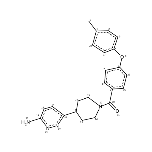 Cc1ccc(Oc2ccc(C(=O)N3CCC(c4ccc(N)nn4)CC3)cc2)cc1